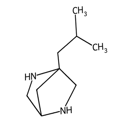 CC(C)CC12CNC(CN1)C2